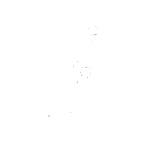 Cc1cccc(C(=O)NC2CC(n3cnc4c(NCCCN5CCN(CC6CCNCC6)CC5)ncnc43)C2)n1.Cl